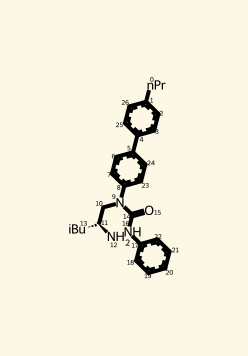 CCCc1ccc(-c2ccc(N(C[C@@H](N)[C@@H](C)CC)C(=O)Nc3ccccc3)cc2)cc1